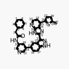 O=C(Cc1ccccc1)Nc1cncc(-c2ccc3[nH]nc(-c4nc5c(-c6ccc(F)s6)ccnc5[nH]4)c3c2)c1